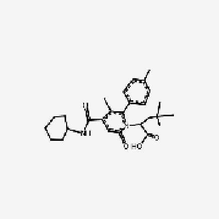 Cc1ccc(-c2c(C)c(C(=O)NC3CCCCC3)cc(=O)n2C(CC(C)(C)C)C(=O)O)cc1